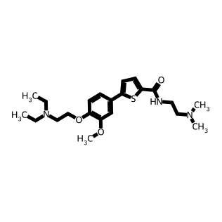 CCN(CC)CCOc1ccc(-c2ccc(C(=O)NCCN(C)C)s2)cc1OC